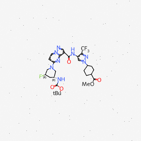 COC(=O)C1CCC(n2cc(NC(=O)c3cnn4ccc(N5C[C@H](F)C[C@@H](NC(=O)OC(C)(C)C)C5)nc34)c(C(F)(F)F)n2)CC1